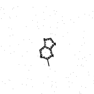 Cc1ncc2scnc2n1